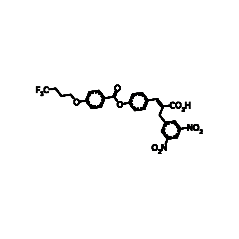 O=C(O)C(=Cc1ccc(OC(=O)c2ccc(OCCCC(F)(F)F)cc2)cc1)Cc1cc([N+](=O)[O-])cc([N+](=O)[O-])c1